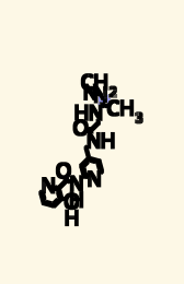 C=N/N=C(/C)NCC(=O)NCc1ccnc(NC(=O)c2ncccc2O)c1